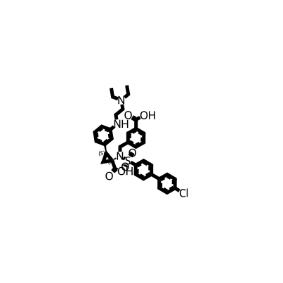 CCN(CC)CCNc1cccc([C@@H]2C[C@@]2(C(=O)O)N(Cc2cccc(C(=O)O)c2)S(=O)(=O)c2ccc(-c3ccc(Cl)cc3)cc2)c1